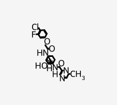 Cc1cncc(C(=O)NC23CCC(NC(=O)COc4ccc(Cl)c(F)c4)(CC2)C[C@@H]3O)n1